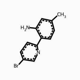 Cc1ccc(-c2ccc(Br)cn2)c(N)c1